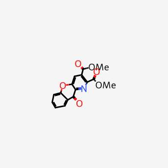 COC(=O)c1cc2oc3ccccc3c(=O)c2nc1C(=O)OC